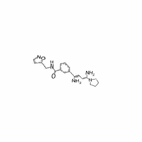 N/C(=C\C=C(/N)N1CCCC1)c1cccc(C(=O)NCc2ccno2)c1